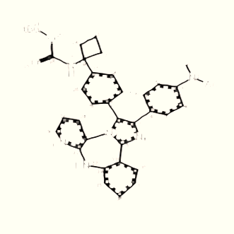 CC(=O)N(C)c1ccc(-c2nc3n(c2-c2ccc(C4(NC(=O)OC(C)(C)C)CCC4)cc2)-c2cccnc2Nc2ccccc2-3)cc1